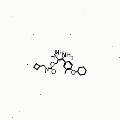 Cc1cc(/C(N)=C(\COC(=O)N(C)CC2CCC2)N(C)N)ccc1OC1CCCCC1